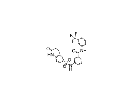 O=C1CCc2cc(S(=O)(=O)Nc3cccc(C(=O)Nc4cccc(C(F)(F)F)c4)c3)ccc2N1